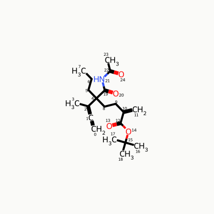 C=C=C(C)C(CCC)(CCC(=C)C(=O)OC(C)(C)C)C(=O)NC(C)=O